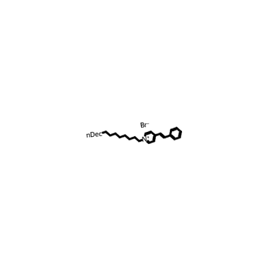 CCCCCCCCCCCCCCCCCC[n+]1ccc(C=Cc2ccccc2)cc1.[Br-]